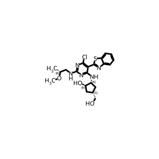 CO[C@H](C)CNc1nc(Cl)c(-c2nc3ccccc3s2)c(N[C@@H]2C[C@H](CO)C[C@H]2O)n1